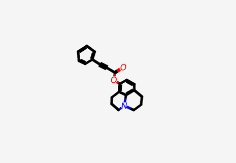 O=C(C#Cc1ccccc1)Oc1ccc2c3c1CCCN3CCC2